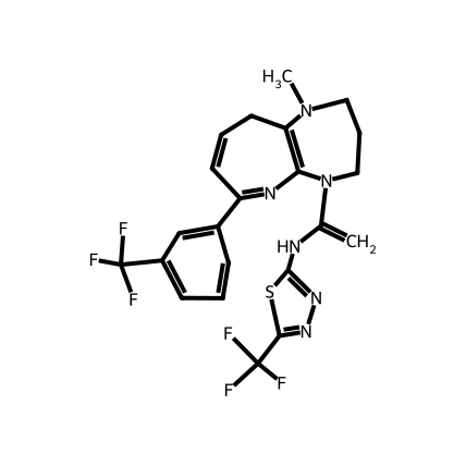 C=C(Nc1nnc(C(F)(F)F)s1)N1CCCN(C)C2=C1N=C(c1cccc(C(F)(F)F)c1)C=CC2